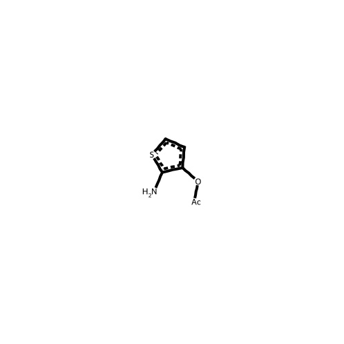 CC(=O)Oc1ccsc1N